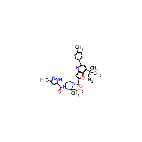 Cc1ccc(-c2cc(C(C)(C)C)c3oc(C(=O)N4CCN(C(=O)c5cc(C)n[nH]5)CC4(C)C)cc3n2)cc1